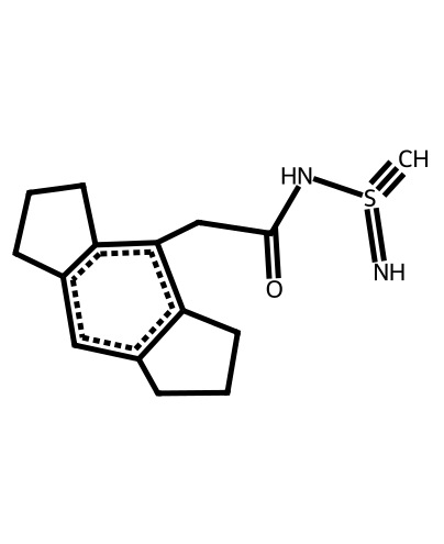 C#S(=N)NC(=O)Cc1c2c(cc3c1CCC3)CCC2